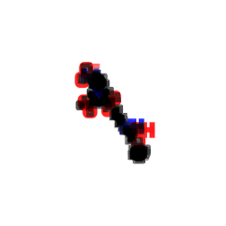 COC(=O)C1=C(C)N(c2cccc([N+](=O)[O-])c2)C(C)=C(C(=O)OCCCCNCC(O)COc2ccccc2)C1